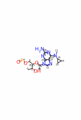 CC(O)[C@@H](COP=O)O[C@H](C)n1cnc2c(N(C)C3CC3)nc(N)nc21